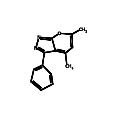 Cc1cc(C)c2c(-c3ccccc3)nnc-2o1